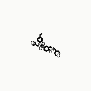 CCc1ccc(N(CC2COC2)S(=O)(=O)c2ccc3nn(CC4CCOCC4)cc3c2)cc1